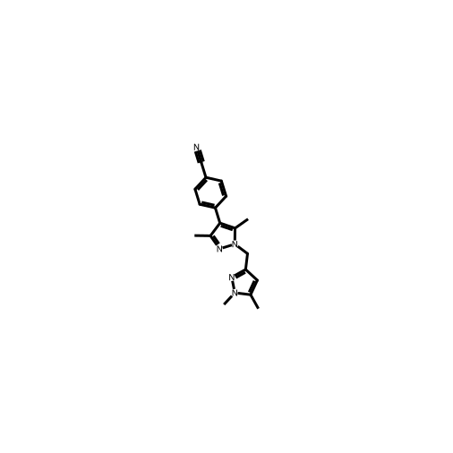 Cc1nn(Cc2cc(C)n(C)n2)c(C)c1-c1ccc(C#N)cc1